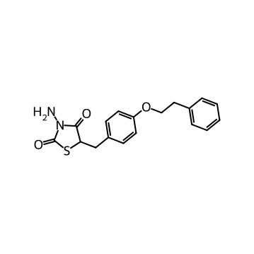 NN1C(=O)SC(Cc2ccc(OCCc3ccccc3)cc2)C1=O